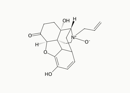 C=CC[N+]1([O-])CC[C@@]23C4C5=C(O)C=CC4C[C@@H]1[C@]2(O)CCC(=O)[C@@H]3O5